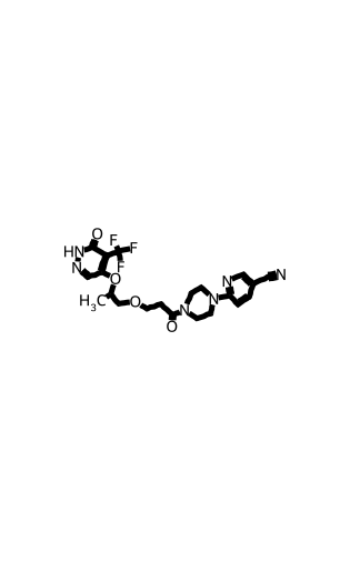 CC(COCCC(=O)N1CCN(c2ccc(C#N)cn2)CC1)Oc1cn[nH]c(=O)c1C(F)(F)F